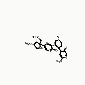 COc1cc([C@@]2(Oc3cnc([C@@]4(CC(=O)O)C[C@@H](OC)CN4)cn3)CCNC[C@H]2C)c(Cl)cn1